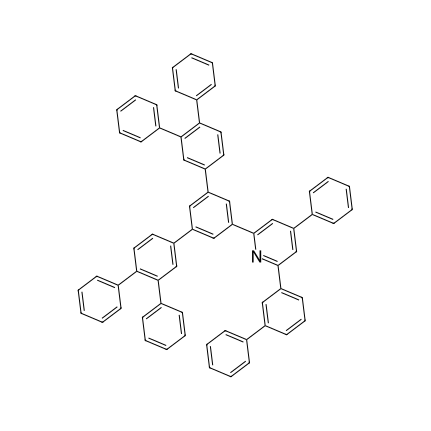 c1ccc(-c2cccc(-c3cc(-c4ccccc4)cc(-c4cc(-c5ccc(-c6ccccc6)c(-c6ccccc6)c5)cc(-c5ccc(-c6ccccc6)c(-c6ccccc6)c5)c4)n3)c2)cc1